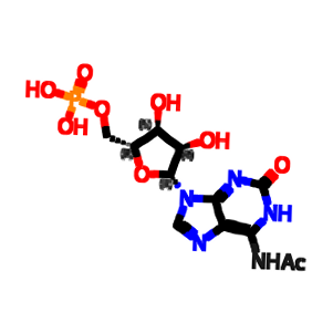 CC(=O)Nc1[nH]c(=O)nc2c1ncn2[C@@H]1O[C@H](COP(=O)(O)O)[C@@H](O)[C@H]1O